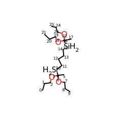 CCCOC(C)(OCCC)[SiH2]CCCC[SiH2]C(C)(OCCC)OCCC